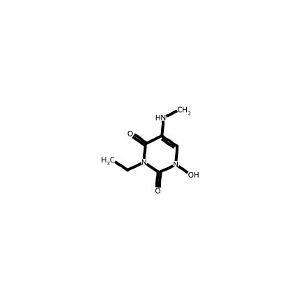 CCn1c(=O)c(NC)cn(O)c1=O